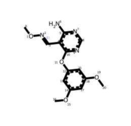 CO/N=C/c1c(N)ncnc1Oc1cc(OC)cc(OC)c1